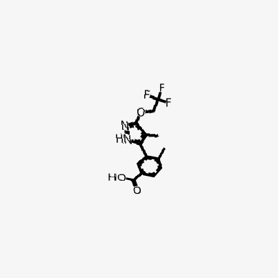 Cc1ccc(C(=O)O)cc1-c1[nH]nc(OCC(F)(F)F)c1C